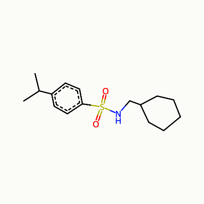 CC(C)c1ccc(S(=O)(=O)NCC2CCCCC2)cc1